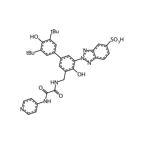 CC(C)(C)c1cc(-c2cc(CNC(=O)C(=O)Nc3ccncc3)c(O)c(-n3nc4ccc(S(=O)(=O)O)cc4n3)c2)cc(C(C)(C)C)c1O